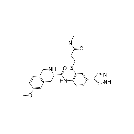 COc1ccc2c(c1)CC(C(=O)Nc1ccc(-c3cn[nH]c3)cc1SCCC(=O)N(C)C)NC2